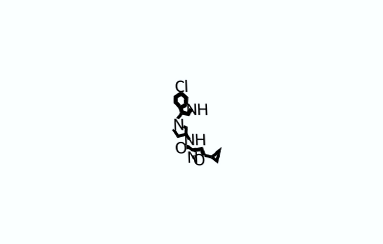 O=C(NC1CCN(Cc2c[nH]c3cc(Cl)ccc23)C1)c1cc(C2CC2)on1